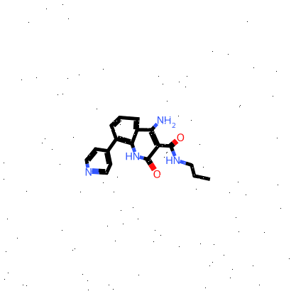 CCCNC(=O)c1c(N)c2cccc(-c3ccncc3)c2[nH]c1=O